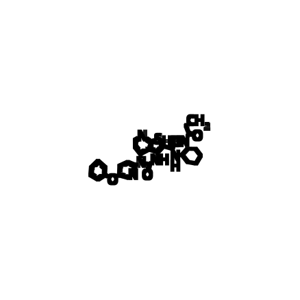 C=CC(=O)N[C@@H]1CCCC[C@H]1NC(O)c1sc2nccc3c2c1NC(=O)N3c1ccc(Oc2ccccc2)cn1